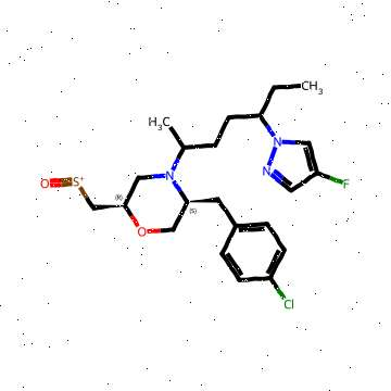 CCC(CCC(C)N1C[C@H](C[S+]=O)OC[C@@H]1Cc1ccc(Cl)cc1)n1cc(F)cn1